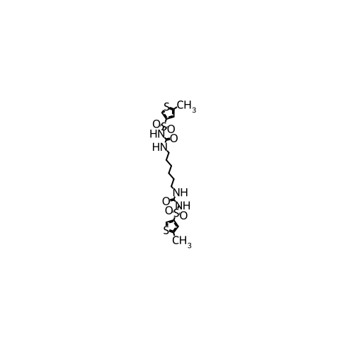 Cc1cc(S(=O)(=O)NC(=O)NCCCCCCNC(=O)NS(=O)(=O)c2csc(C)c2)cs1